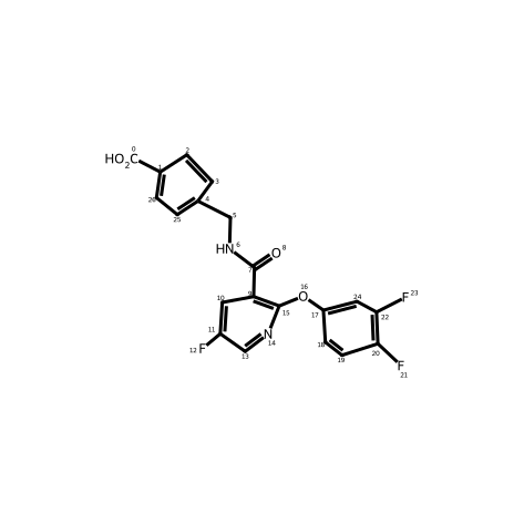 O=C(O)c1ccc(CNC(=O)c2cc(F)cnc2Oc2ccc(F)c(F)c2)cc1